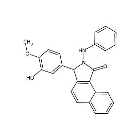 COc1ccc(C2c3ccc4ccccc4c3C(=O)N2Nc2ccccc2)cc1O